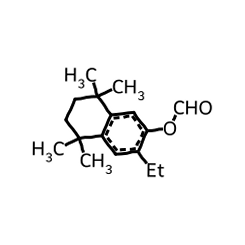 CCc1cc2c(cc1OC=O)C(C)(C)CCC2(C)C